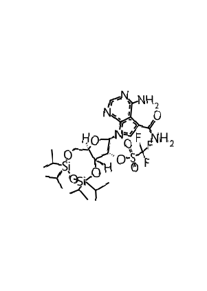 CC(C)[Si]1(C(C)C)OC[C@H]2O[C@@H](n3cc(C(N)=O)c4c(N)ncnc43)[C@H](OS(=O)(=O)C(F)(F)F)[C@@H]2O[Si](C(C)C)(C(C)C)O1